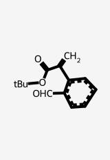 C=C(C(=O)OC(C)(C)C)c1ccccc1C=O